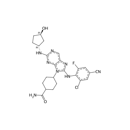 N#Cc1cc(F)c(Nc2nc3cnc(N[C@@H]4CC[C@@H](O)C4)nc3n2C2CCC(C(N)=O)CC2)c(Cl)c1